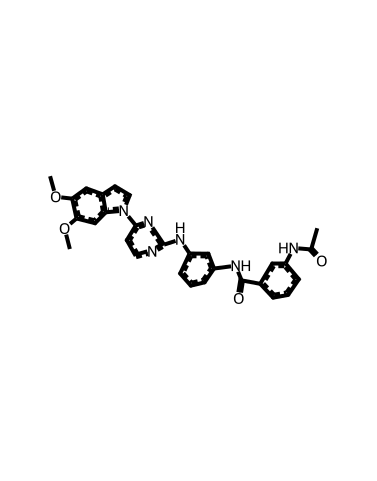 COc1cc2ccn(-c3ccnc(Nc4cccc(NC(=O)c5cccc(NC(C)=O)c5)c4)n3)c2cc1OC